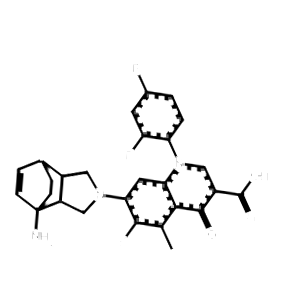 Cc1c(F)c(N2CC3C4C=CC(N)(CC4)C3C2)cc2c1c(=O)c(C(=O)O)cn2-c1ccc(F)cc1F